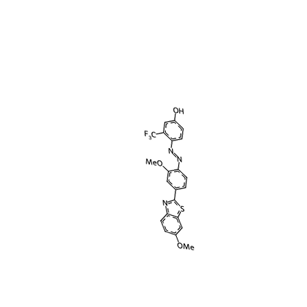 COc1ccc2nc(-c3ccc(/N=N/c4ccc(O)cc4C(F)(F)F)c(OC)c3)sc2c1